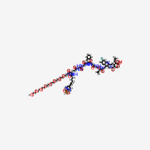 COCCOCCOCCOCCOCCOCCOCCOCCNC(=O)[C@H](CCC(=O)NCC(=O)NCC(=O)N[C@@H](Cc1ccccc1)C(=O)NCC(=O)NCO[C@H](C(=O)NCc1c2c(nc3cc(F)c(C)cc13)-c1cc3c(c(=O)n1C2)COC(=O)[C@]3(O)CC1CC1)C1CC1)NC(=O)CCCC#Cc1cnc(S(C)(=O)=O)nc1